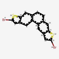 Brc1cc2cc3c(ccc4cc5sc(Br)cc5cc43)cc2s1